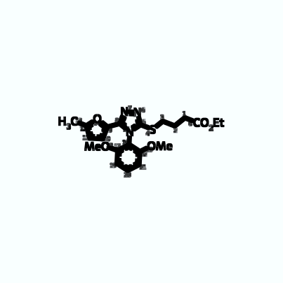 CCOC(=O)CCCSc1nnc(-c2ccc(C)o2)n1-c1c(OC)cccc1OC